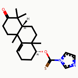 CC1(C)C(=O)CCC2(C)C3=CCC[C@@H](OC(=S)n4ccnc4)C3(C)CC[C@@H]12